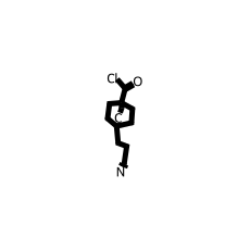 N#CCCC12CCC(C(=O)Cl)(CC1)CC2